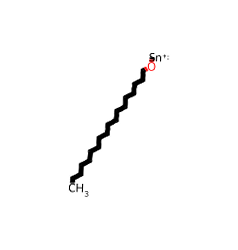 CCCCCCCCCCCCCCCCCC[O][Sn+]